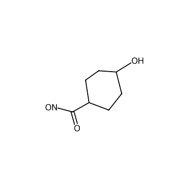 O=NC(=O)C1CCC(O)CC1